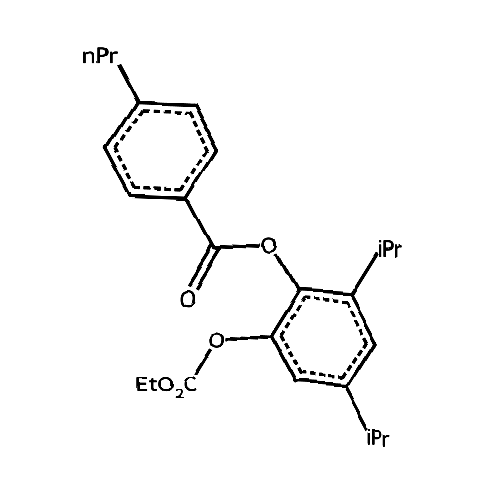 CCCc1ccc(C(=O)Oc2c(OC(=O)OCC)cc(C(C)C)cc2C(C)C)cc1